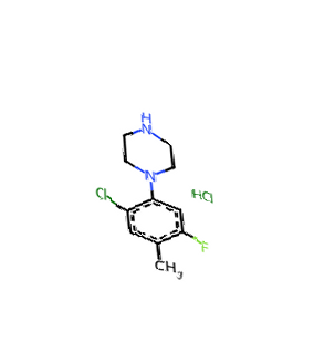 Cc1cc(Cl)c(N2CCNCC2)cc1F.Cl